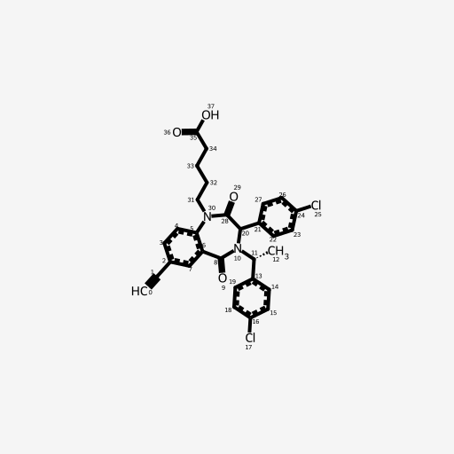 C#Cc1ccc2c(c1)C(=O)N([C@H](C)c1ccc(Cl)cc1)C(c1ccc(Cl)cc1)C(=O)N2CCCCC(=O)O